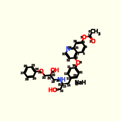 CC(=O)Oc1ccc2c(Oc3ccc(C[C@@H](CO)NC[C@H](O)COc4ccccc4)cc3)ccnc2c1.[NaH]